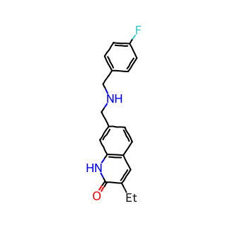 CCc1cc2ccc(CNCc3ccc(F)cc3)cc2[nH]c1=O